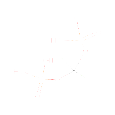 O=P(O)(O)OC(F)(F)OP(=O)(O)O